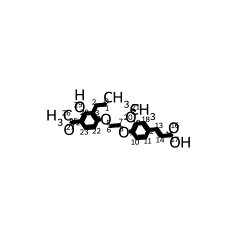 CCCc1c(OCCOc2ccc(C=CC(=O)O)cc2OC)ccc(C(C)=O)c1O